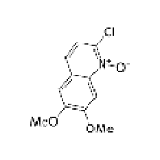 COc1cc2ccc(Cl)[n+]([O-])c2cc1OC